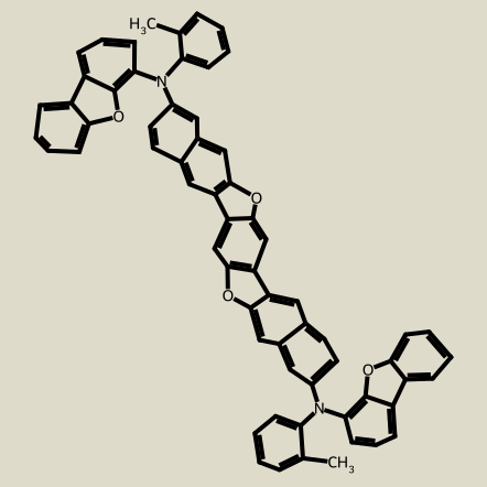 Cc1ccccc1N(c1ccc2cc3c(cc2c1)oc1cc2c(cc13)oc1cc3cc(N(c4ccccc4C)c4cccc5c4oc4ccccc45)ccc3cc12)c1cccc2c1oc1ccccc12